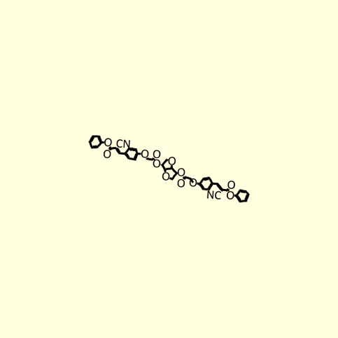 N#C/C(=C\c1ccc(OCC(=O)O[C@H]2COC3C2OC[C@H]3OC(=O)COc2ccc(/C=C(\C#N)C(=O)Oc3ccccc3)cc2)cc1)C(=O)Oc1ccccc1